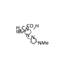 CNc1ccc(CN2CCN(C(=O)O)[C@@](C)(C(C)(C)C)C2)nc1